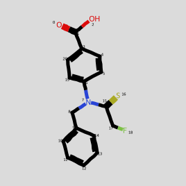 O=C(O)c1ccc(N(Cc2ccccc2)C(=S)CF)cc1